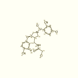 N#Cc1ccc(O[C@H]2CN([S+]([O-])c3ccc(Cl)cc3C#N)CC2CNC(=O)CCl)cc1F